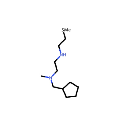 CSCCNCCN(C)CC1CCCC1